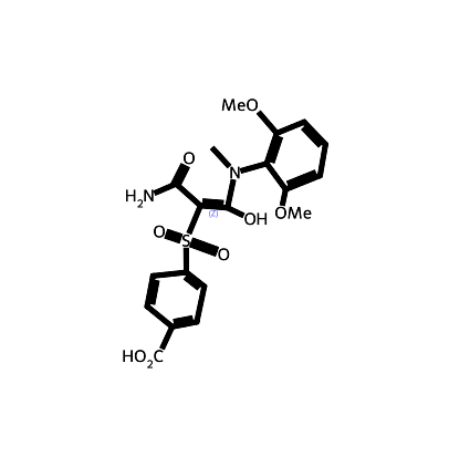 COc1cccc(OC)c1N(C)/C(O)=C(\C(N)=O)S(=O)(=O)c1ccc(C(=O)O)cc1